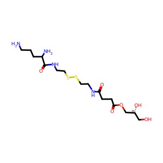 NCCCC(N)C(=O)NCCSSCCNC(=O)CCC(=O)OC[C@H](O)CO